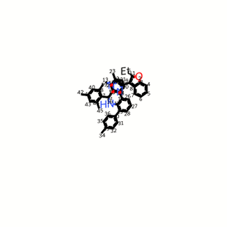 CCc1oc2ccccc2c1-c1cn(C)c(C(Nc2c(-c3ccc(C)cc3)cccc2-c2ccc(C)cc2)c2c(C)cc(C)cc2C)n1